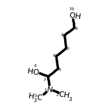 CN(C)C(O)CCCCCO